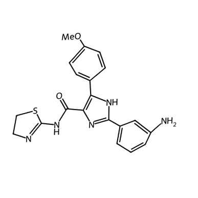 COc1ccc(-c2[nH]c(-c3cccc(N)c3)nc2C(=O)NC2=NCCS2)cc1